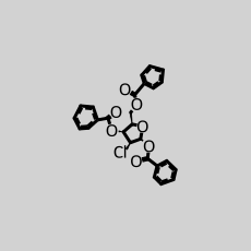 O=C(OC[C@H]1O[C@H](OC(=O)c2ccccc2)[C@@H](Cl)[C@@H]1OC(=O)c1ccccc1)c1ccccc1